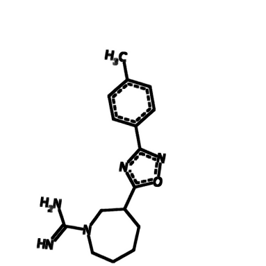 Cc1ccc(-c2noc(C3CCCCN(C(=N)N)C3)n2)cc1